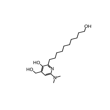 CN(C)c1cc(CO)c(O)c(CCCCCCCCCCO)n1